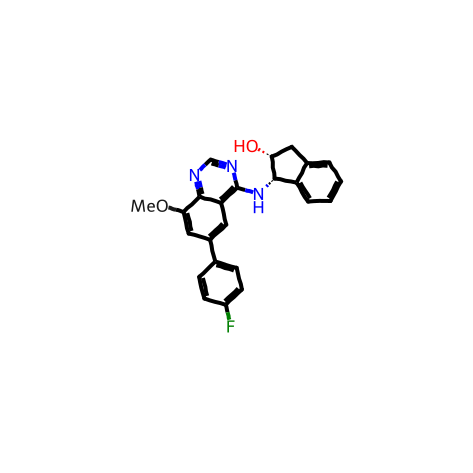 COc1cc(-c2ccc(F)cc2)cc2c(N[C@H]3c4ccccc4C[C@H]3O)ncnc12